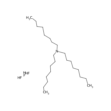 CCCCCCCCN(CCCCCCCC)CCCCCCCC.F.F.F